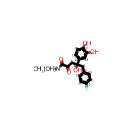 CN(O)C(=O)C(=O)CC(O)(Cc1ccc(F)cc1)c1ccc(O)c(O)c1